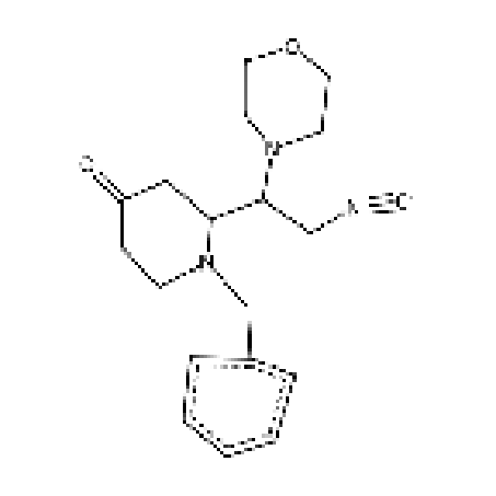 [C-]#[N+]CC(C1CC(=O)CCN1Cc1ccccc1)N1CCOCC1